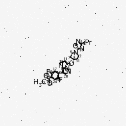 CC(C)c1noc(N2CCC(Oc3ccnc4c(-c5cc(F)c(S(C)(=O)=O)cc5F)cnn34)CC2)n1